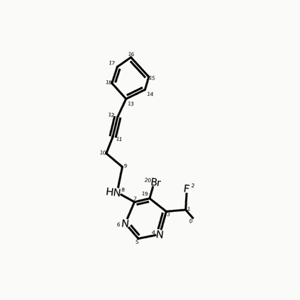 CC(F)c1ncnc(NCCC#Cc2ccccc2)c1Br